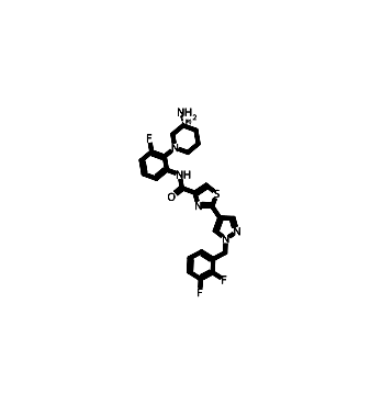 N[C@@H]1CCCN(c2c(F)cccc2NC(=O)c2csc(-c3cnn(Cc4cccc(F)c4F)c3)n2)C1